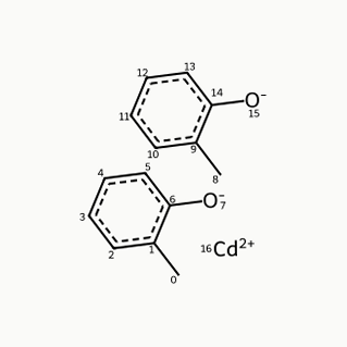 Cc1ccccc1[O-].Cc1ccccc1[O-].[Cd+2]